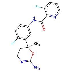 C[C@@]1(c2cc(NC(=O)c3ncccc3F)ccc2F)CCN=C(N)O1